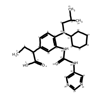 CCC(C(=O)O)c1ccc(N(CC(C)C)C2CCCCC2)c(NC(=O)Nc2cncnc2)c1